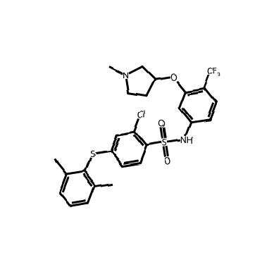 Cc1cccc(C)c1Sc1ccc(S(=O)(=O)Nc2ccc(C(F)(F)F)c(OC3CCN(C)C3)c2)c(Cl)c1